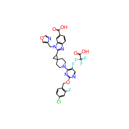 O=C(O)C(F)(F)F.O=C(O)c1ccc2nc(C3CC34CCN(c3nc(OCc5ccc(Cl)cc5F)ncc3F)CC4)n(Cc3cocn3)c2c1